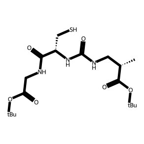 C[C@@H](CNC(=O)N[C@@H](CS)C(=O)NCC(=O)OC(C)(C)C)C(=O)OC(C)(C)C